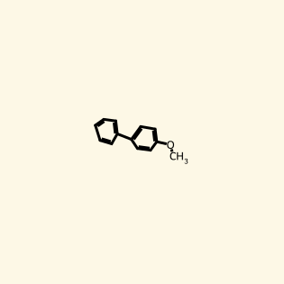 COc1ccc(-c2ccccc2)cc1